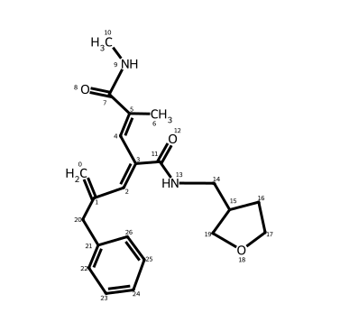 C=C(/C=C(\C=C(/C)C(=O)NC)C(=O)NCC1CCOC1)Cc1ccccc1